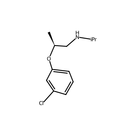 CC(C)NC[C@H](C)Oc1cccc(Cl)c1